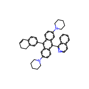 C1=Cc2ccc(-c3c4cc(N5CCCCC5)ccc4c(-c4nccc5ccccc45)c4cc(N5CCCCC5)ccc34)cc2CC1